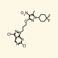 Cc1c([N+](=O)[O-])c(OCCCn2nc(Cl)c3cnc(Cl)nc32)nn1C1CCC(F)(F)CC1